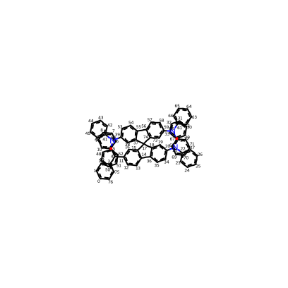 c1ccc(C(c2ccccc2)c2ccc3c(c2)C2(c4cc(N(c5ccccc5)c5ccccc5)ccc4-3)c3cc(N(c4ccccc4)c4ccccc4)ccc3-c3ccc(N(c4ccccc4)c4ccccc4)cc32)cc1